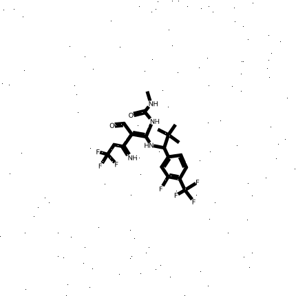 CNC(=O)N/C(NC(c1ccc(C(F)(F)F)c(F)c1)C(C)(C)C)=C(\C=O)C(=N)CC(F)(F)F